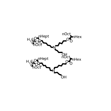 CCCCCCCCO[Si](C)(C)OC(CCCCCCC)OCCCCCCN(CCCCO)CCCCCCOC(=O)C(CCCCCC)CCCCCCCC.CCCCCCCCO[Si](C)(C)OC(CCCCCCC)OCCCCCCN(CCCCO)CCCCCCOC(=O)C(CCCCCC)CCCCCCCC